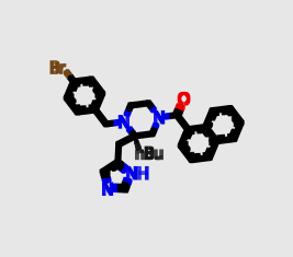 CCCC[C@]1(Cc2cnc[nH]2)CN(C(=O)c2cccc3ccccc23)CCN1Cc1ccc(Br)cc1